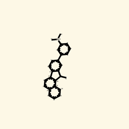 CC1c2cc(-c3cccc(N(C)C)c3)ccc2-c2ccc3ccccc3c21